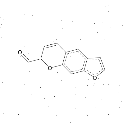 O=CC1C=Cc2cc3ccoc3cc2O1